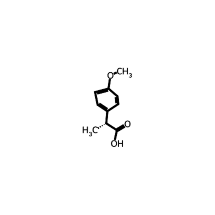 COc1ccc([C@@H](C)C(=O)O)cc1